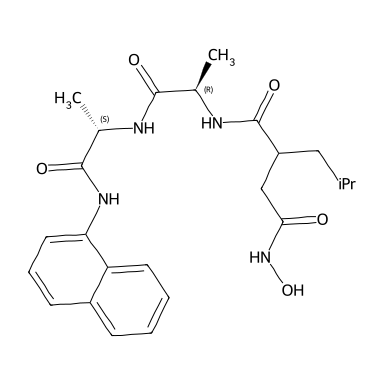 CC(C)CC(CC(=O)NO)C(=O)N[C@H](C)C(=O)N[C@@H](C)C(=O)Nc1cccc2ccccc12